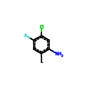 [CH2]c1cc(F)c(Cl)cc1N